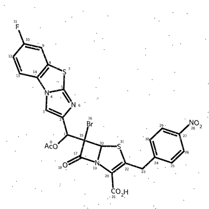 CC(=O)OC(c1cn2c(n1)sc1cc(F)ccc12)C1(Br)C(=O)N2C(C(=O)O)=C(Cc3ccc([N+](=O)[O-])cc3)SC21